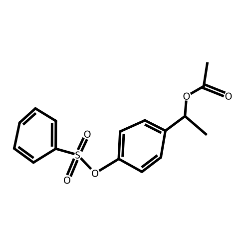 CC(=O)OC(C)c1ccc(OS(=O)(=O)c2ccccc2)cc1